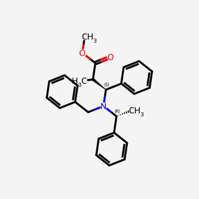 COC(=O)C(C)[C@@H](c1ccccc1)N(Cc1ccccc1)[C@H](C)c1ccccc1